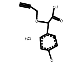 C#CCOC(C(=O)O)c1ccc(Cl)cc1.Cl